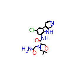 CC1(C)CN(CC(N)=O)[C@H](C(=O)Nc2cc(Cl)cc3c2[nH]c2cnccc23)CO1